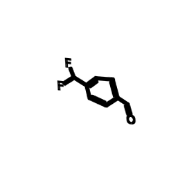 O=Cc1ccc(C(F)F)cc1